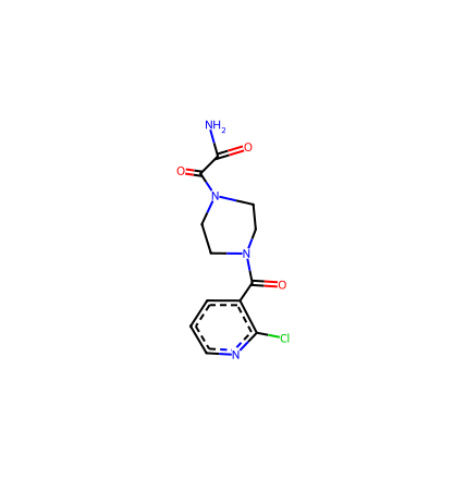 NC(=O)C(=O)N1CCN(C(=O)c2cccnc2Cl)CC1